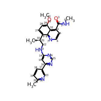 CNC(=O)c1ccnc2c([C@H](C)CNc3cc(-c4ccc(C)nc4)ncn3)ccc(OC)c12